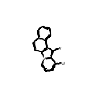 Clc1cccn2c1c(Br)c1c3ccccc3ccc12